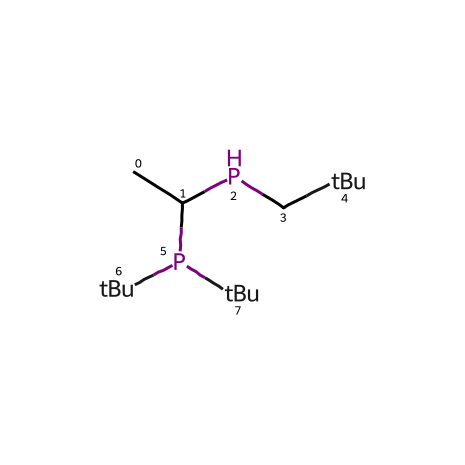 CC(PCC(C)(C)C)P(C(C)(C)C)C(C)(C)C